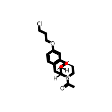 CC(=O)N1CC[C@]23CCCC[C@H]2[C@H]1Cc1ccc(OCCCCl)cc13